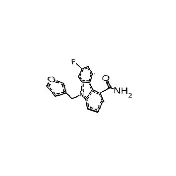 NC(=O)c1cccc2c1c1[c]cc(F)cc1n2Cc1ccoc1